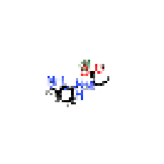 CC/C(=N/Nc1cccc(CN)c1)C(=O)OCl